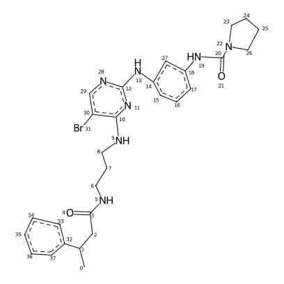 CC(CC(=O)NCCCNc1nc(Nc2cccc(NC(=O)N3CCCC3)c2)ncc1Br)c1ccccc1